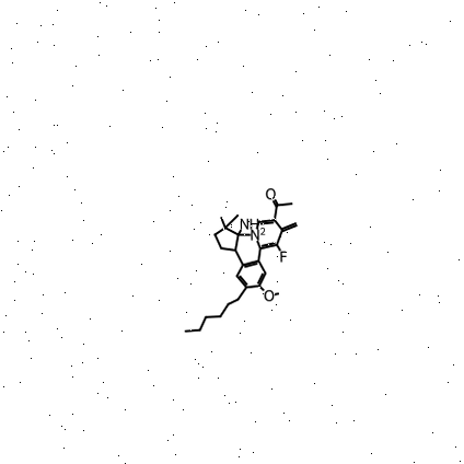 C=C1C(C(C)=O)=CN2C(=C1F)c1cc(OC)c(CCCCCC)cc1C1CCC(C)(C)C12N